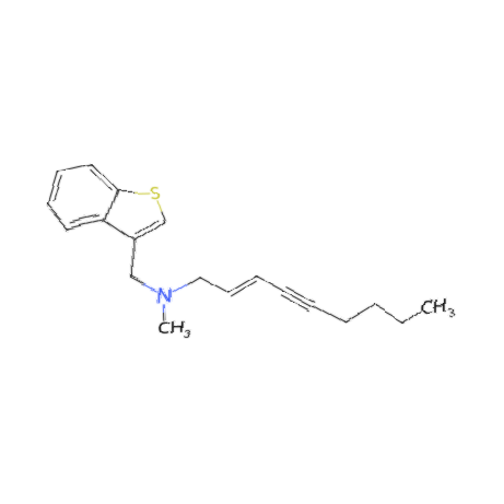 CCCCC#CC=CCN(C)Cc1csc2ccccc12